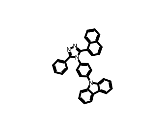 c1ccc(-c2nnc(-c3cccc4ccccc34)n2-c2ccc(-n3c4ccccc4c4ccccc43)cc2)cc1